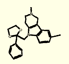 Cc1ccc2c(c1)c1c(n2CC2(c3ccccc3)OCCO2)CCN(C)C1